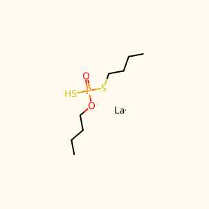 CCCCOP(=O)(S)SCCCC.[La]